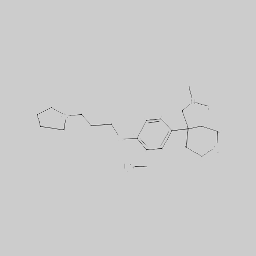 CN.CN(C)CC1(c2ccc(OCCCN3CCCC3)cc2)CCOCC1